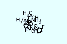 CC(C)C[C@@H](C(N)=O)N(C)[C@@H]1CC[C@H]2CN(S(=O)(=O)c3cccc(F)c3)C[C@H]21